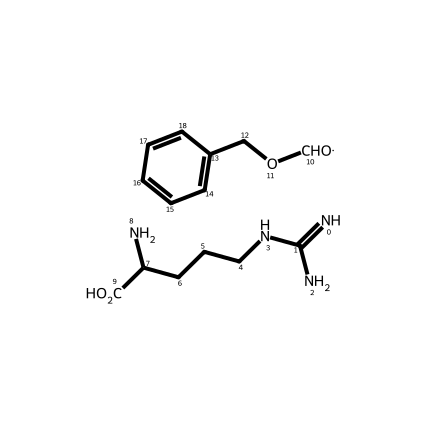 N=C(N)NCCCC(N)C(=O)O.O=[C]OCc1ccccc1